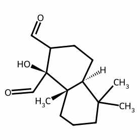 CC1(C)CCC[C@@]2(C)[C@H]1CCC(C=O)[C@@]2(O)C=O